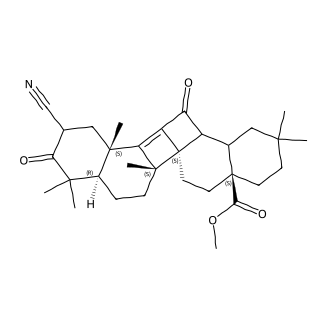 COC(=O)[C@]12CCC(C)(C)CC1C1C(=O)C3=C4[C@@]5(C)CC(C#N)C(=O)C(C)(C)[C@@H]5CC[C@@]4(C)[C@@]31CC2